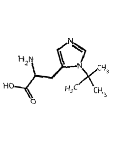 CC(C)(C)n1cncc1CC(N)C(=O)O